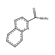 CC(=O)NC(=O)c1ccc2ccccc2n1